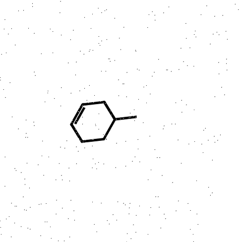 CC1[CH]CC=CC1